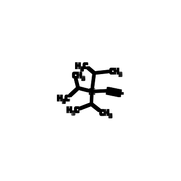 [C]#C[Si](C(C)C)(C(C)C)C(C)C